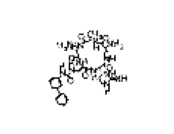 C[C@@H]1NC(=O)C(N)CNC(=O)[C@H](C2CCNC(=N)N2)NC(=O)/C(=C/NC(=O)Nc2cccc(-c3ccccc3)c2)NC(=O)[C@H](CN)NC1=O